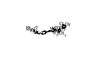 CC(C)(C)OC(=O)N1CC(CN2CCC(C#Cc3ccc(C(=O)NC4C(C)(C)C(Oc5ccc(C#N)c(Cl)c5)C4(C)C)cn3)CC2)C1